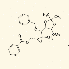 COC1OC(C)(C)OC1C(OCc1ccccc1)[C@]1(C)C[C@@H]1COC(=O)c1ccccc1